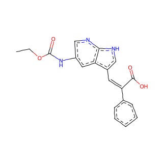 CCOC(=O)Nc1cnc2[nH]cc(C=C(C(=O)O)c3ccccc3)c2c1